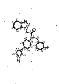 O=C(Cn1nnc2ccccc21)N(Cc1cncc(F)c1)c1ccc(-c2c[nH]cn2)cc1